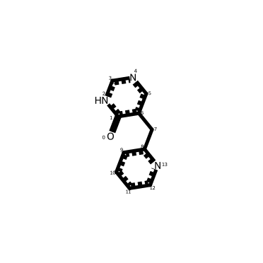 O=c1[nH]cncc1Cc1ccccn1